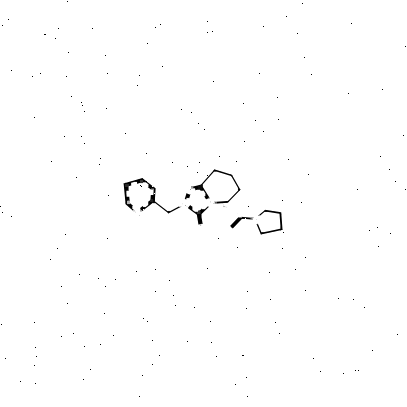 O=C([C@H]1CCCc2nn(Cc3ccccn3)c(=O)n21)N1CCCC1